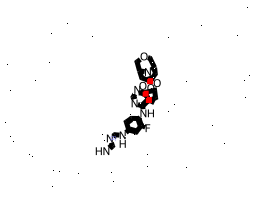 Cc1c(Nc2ccc(N/C=N\C=N)cc2F)ncnc1OC1CC2COCC(C1)N2C(=O)OC1(C)CCC1